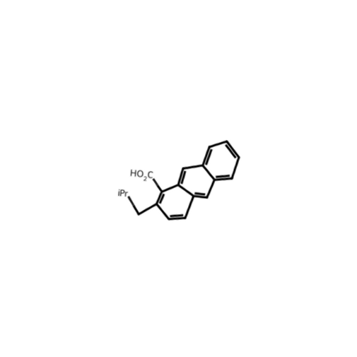 CC(C)Cc1ccc2cc3ccccc3cc2c1C(=O)O